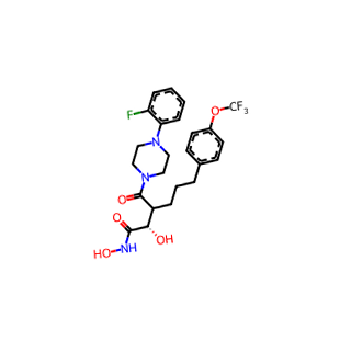 O=C(NO)[C@@H](O)C(CCCc1ccc(OC(F)(F)F)cc1)C(=O)N1CCN(c2ccccc2F)CC1